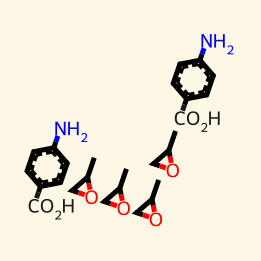 CC1CO1.CC1CO1.CC1CO1.CC1CO1.Nc1ccc(C(=O)O)cc1.Nc1ccc(C(=O)O)cc1